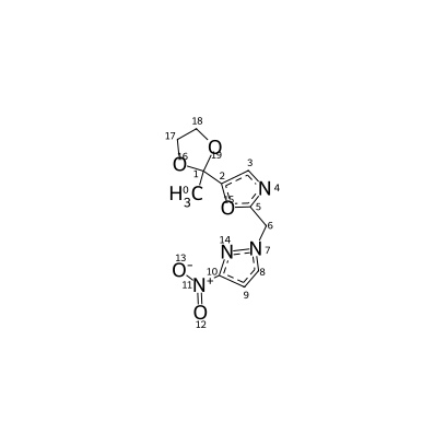 CC1(c2cnc(Cn3ccc([N+](=O)[O-])n3)o2)OCCO1